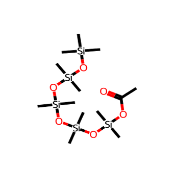 CC(=O)O[Si](C)(C)O[Si](C)(C)O[Si](C)(C)O[Si](C)(C)O[Si](C)(C)C